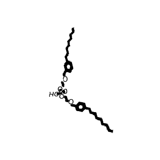 CCCCCCCCCc1ccc(COCCOP(=O)(O)OCCOCc2cccc(CCCCCCCCC)c2)cc1